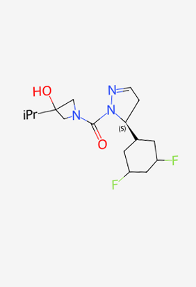 CC(C)C1(O)CN(C(=O)N2N=CC[C@H]2C2CC(F)CC(F)C2)C1